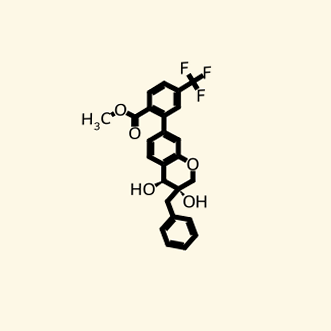 COC(=O)c1ccc(C(F)(F)F)cc1-c1ccc2c(c1)OC[C@@](O)(Cc1ccccc1)[C@H]2O